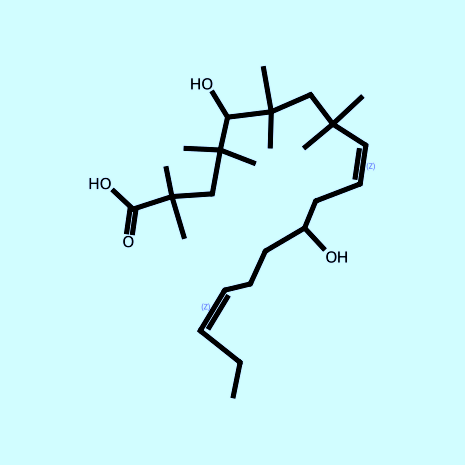 CC/C=C\CCC(O)C/C=C\C(C)(C)CC(C)(C)C(O)C(C)(C)CC(C)(C)C(=O)O